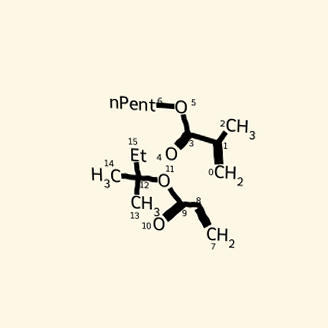 C=C(C)C(=O)OCCCCC.C=CC(=O)OC(C)(C)CC